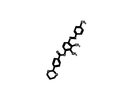 Cc1ccc(/N=N/c2ccc(OC(=O)c3ccc(B4OCCCO4)cc3)c(C)c2C)cc1